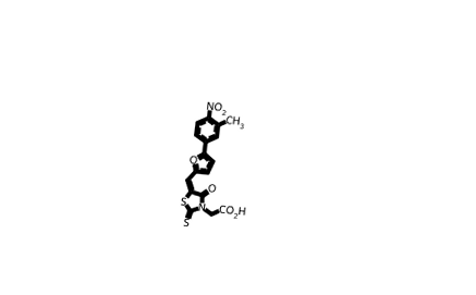 Cc1cc(-c2ccc(/C=C3/SC(=S)N(CC(=O)O)C3=O)o2)ccc1[N+](=O)[O-]